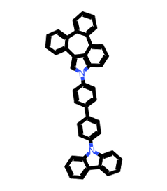 c1ccc2c(c1)-c1ccccc1-c1cn(-c3ccc(-c4ccc(-n5c6ccccc6c6ccccc65)cc4)cc3)c3cccc-2c13